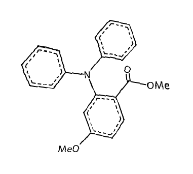 COC(=O)c1ccc(OC)cc1N(c1ccccc1)c1ccccc1